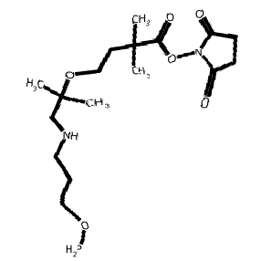 CC(C)(CNCCCOP)OCCC(C)(C)C(=O)ON1C(=O)CCC1=O